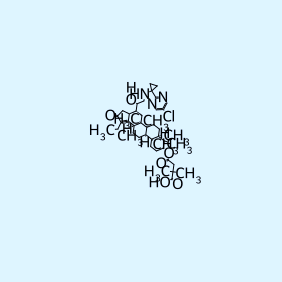 CC(C)C1=C2C(CC1=O)[C@@H]([C@H](O)CNC1(c3ncc(Cl)cn3)CC1)C[C@]1(C)[C@@H]2CC[C@@H]2[C@@]3(C)CC[C@H](OC(=O)CC(C)(C)C(=O)O)C(C)(C)[C@@H]3CC[C@]21C